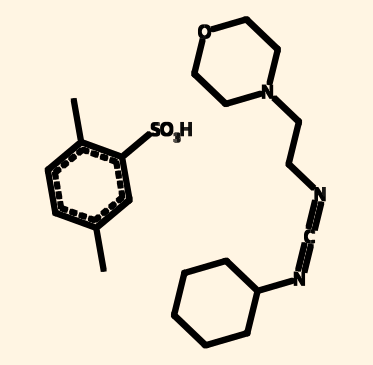 C(=NCCN1CCOCC1)=NC1CCCCC1.Cc1ccc(C)c(S(=O)(=O)O)c1